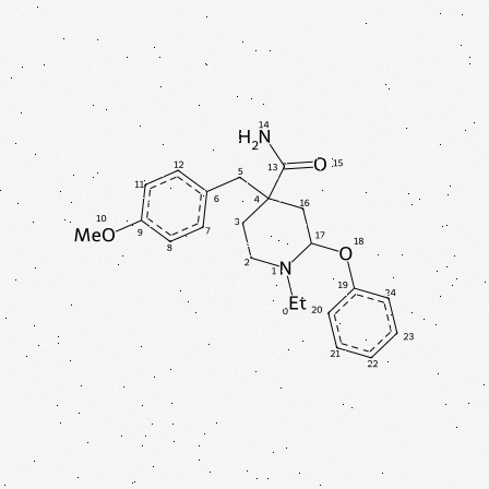 CCN1CCC(Cc2ccc(OC)cc2)(C(N)=O)CC1Oc1ccccc1